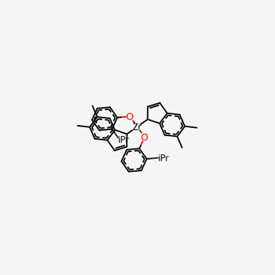 Cc1cc2c(cc1C)[CH]([Zr]([O]c1ccccc1C(C)C)([O]c1ccccc1C(C)C)[CH]1C=Cc3cc(C)c(C)cc31)C=C2